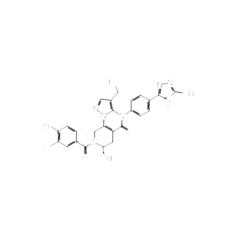 Cc1nnc(-c2ccc(-n3c(=O)c4c(n5ncc(CC(C)C)c35)CN(C(=O)c3ccc(Br)c(Cl)c3)[C@H](C)C4)cc2)[nH]1